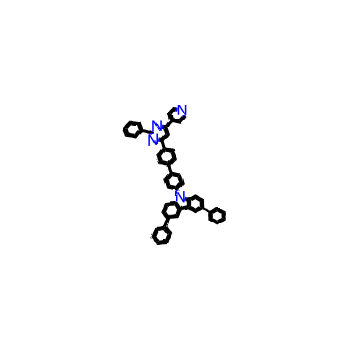 c1ccc(-c2ccc3c(c2)c2cc(-c4ccccc4)ccc2n3-c2ccc(-c3ccc(-c4cc(-c5ccncc5)nc(-c5ccccc5)n4)cc3)cc2)cc1